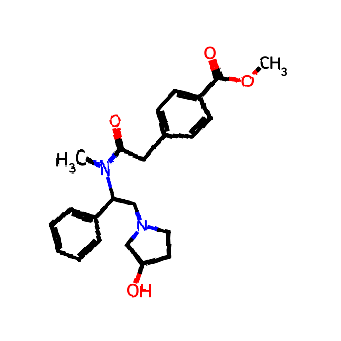 COC(=O)c1ccc(CC(=O)N(C)C(CN2CCC(O)C2)c2ccccc2)cc1